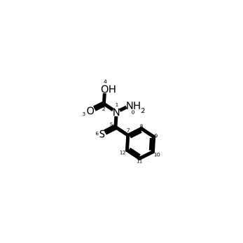 NN(C(=O)O)C(=S)c1ccccc1